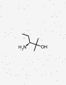 CC[C@H](N)C(C)(C)O